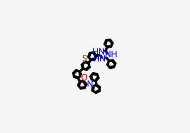 C1=CCC(C2NC(c3ccccc3)NC(c3ccc4sc5cc(-c6cccc7c6oc6c(-n8c9ccccc9c9ccccc98)cccc67)ccc5c4c3)N2)C=C1